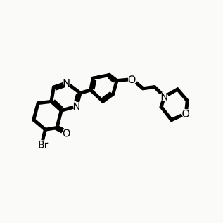 O=C1c2nc(-c3ccc(OCCN4CCOCC4)cc3)ncc2CCC1Br